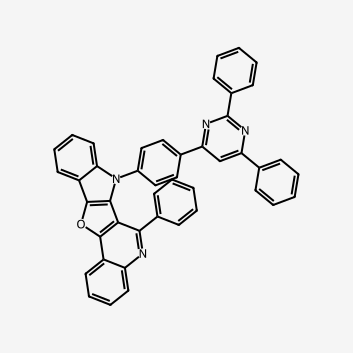 c1ccc(-c2cc(-c3ccc(-n4c5ccccc5c5oc6c7ccccc7nc(-c7ccccc7)c6c54)cc3)nc(-c3ccccc3)n2)cc1